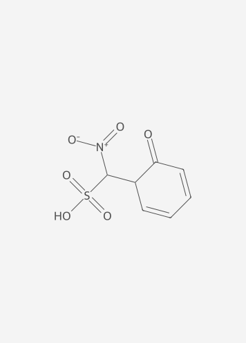 O=C1C=CC=CC1C([N+](=O)[O-])S(=O)(=O)O